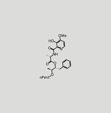 CCCCCO[C@@H](C)[C@@H](Cc1ccccc1)OC(=O)[C@H](C)NC(=O)c1nccc(OC)c1O